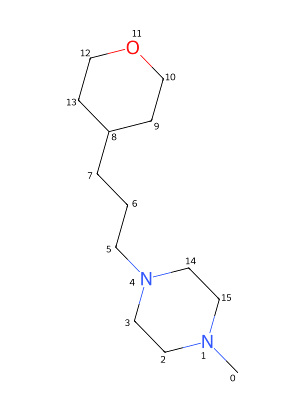 CN1CCN(CCCC2CCOCC2)CC1